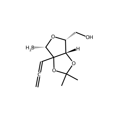 B[C@@H]1O[C@H](CO)[C@@H]2OC(C)(C)OC12C=C=C